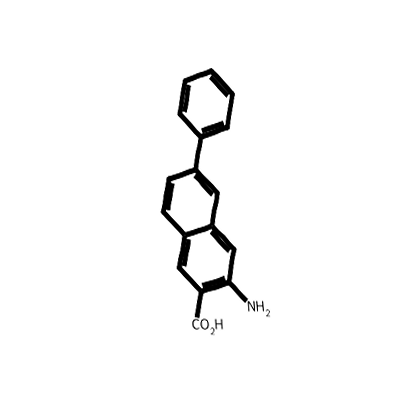 Nc1cc2cc(-c3ccccc3)ccc2cc1C(=O)O